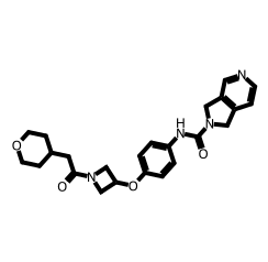 O=C(CC1CCOCC1)N1CC(Oc2ccc(NC(=O)N3Cc4ccncc4C3)cc2)C1